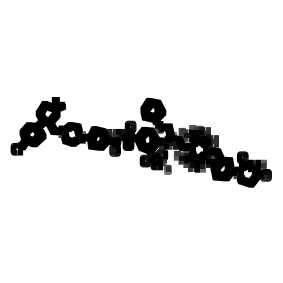 [2H]C1([2H])N(CC[C@H](CSc2ccccc2)Nc2ccc(S(=O)(=O)NC(=O)c3ccc(N4CCN(CC5=C(c6ccc(Cl)cc6)CCC(C)(C)C5)CC4)cc3)cc2S(=O)(=O)C(F)(F)F)C([2H])([2H])C([2H])([2H])N(Cc2cccc(N3CCC(=O)NC3=O)c2)C1([2H])[2H]